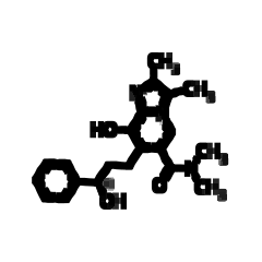 Cc1nc2c(O)c(CC[C@@H](O)c3ccccc3)c(C(=O)N(C)C)cn2c1C